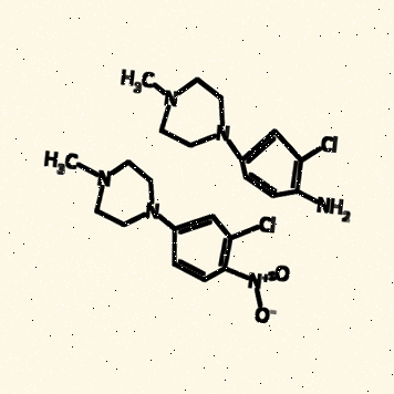 CN1CCN(c2ccc(N)c(Cl)c2)CC1.CN1CCN(c2ccc([N+](=O)[O-])c(Cl)c2)CC1